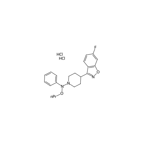 CCCON(c1ccccc1)N1CCC(c2noc3cc(F)ccc23)CC1.Cl.Cl